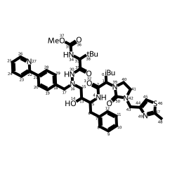 CCC(C)C(C(=O)NC(Cc1ccccc1)C(O)CN(Cc1ccc(-c2ccccn2)cc1)NC(=O)C(NC(=O)OC)C(C)(C)C)N1CCN(Cc2csc(C)n2)C1=O